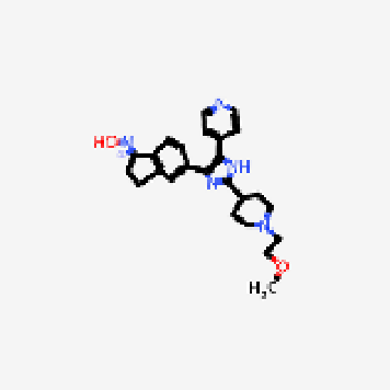 COCCN1CCC(c2nc(-c3ccc4c(c3)CC/C4=N\O)c(-c3ccncc3)[nH]2)CC1